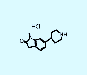 CN1C(=O)Cc2ccc(C3CCNCC3)cc21.Cl